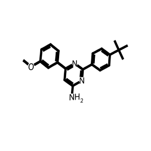 COc1cccc(-c2cc(N)nc(-c3ccc(C(C)(C)C)cc3)n2)c1